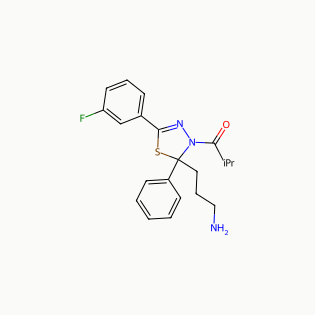 CC(C)C(=O)N1N=C(c2cccc(F)c2)SC1(CCCN)c1ccccc1